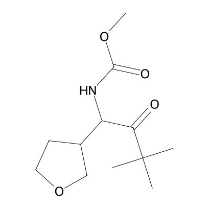 COC(=O)NC(C(=O)C(C)(C)C)C1CCOC1